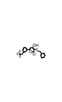 O=c1oc(-c2cccc(CC(F)(F)F)c2)cc(O)c1SCCc1ccccc1